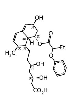 CCC(Oc1ccccc1)C(=O)O[C@H]1C[C@H](O)C=C2C=C[C@H](C)[C@H](CC[C@@H](O)C[C@@H](O)CC(=O)O)[C@H]21